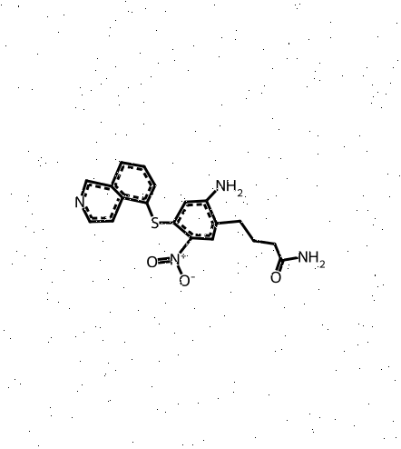 NC(=O)CCCc1cc([N+](=O)[O-])c(Sc2cccc3cnccc23)cc1N